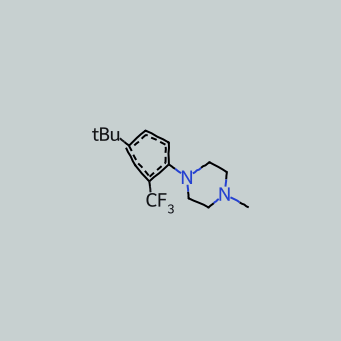 CN1CCN(c2ccc(C(C)(C)C)cc2C(F)(F)F)CC1